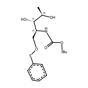 C[C@@H](O)[C@@H](O)[C@H](COSc1ccccc1)NC(=O)OC(C)(C)C